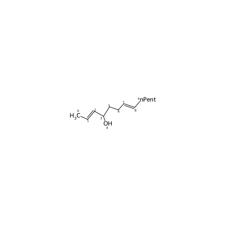 CC=CC(O)CCC=CCCCCC